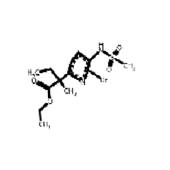 CCOC(=O)C(C)(CC)c1ccc(NS(C)(=O)=O)c(Br)n1